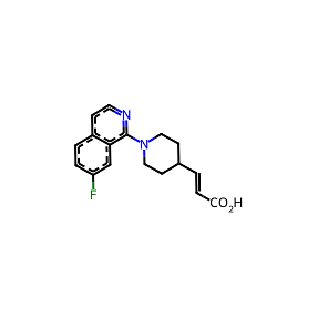 O=C(O)C=CC1CCN(c2nccc3ccc(F)cc23)CC1